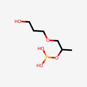 CC(COCCCO)OP(O)O